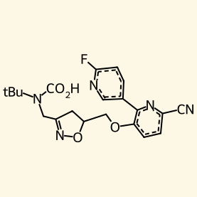 CC(C)(C)N(CC1=NOC(COc2ccc(C#N)nc2-c2ccc(F)nc2)C1)C(=O)O